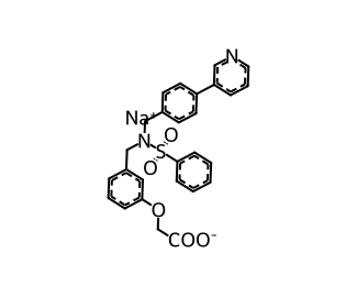 O=C([O-])COc1cccc(CN(Cc2ccc(-c3cccnc3)cc2)S(=O)(=O)c2ccccc2)c1.[Na+]